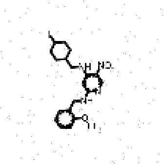 O=[N+]([O-])c1cnc(NCc2ccccc2OC(F)(F)F)cc1NCC1CCC(I)CC1